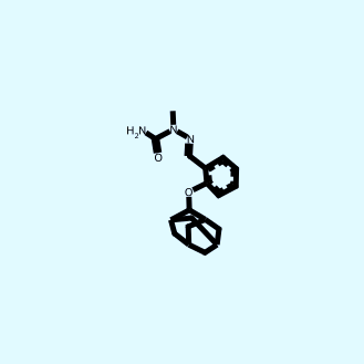 CN(N=Cc1ccccc1OC1C2CC3CC(C2)CC1C3)C(N)=O